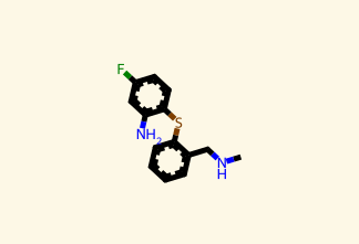 CNCc1ccccc1Sc1ccc(F)cc1N